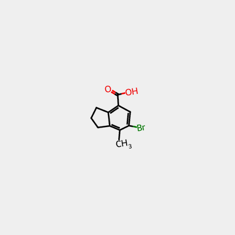 Cc1c(Br)cc(C(=O)O)c2c1CCC2